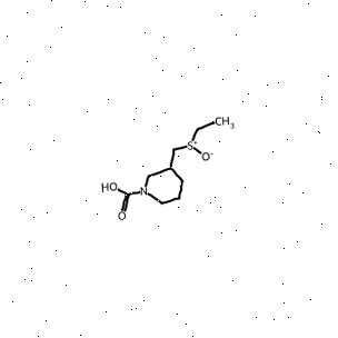 CC[S+]([O-])CC1CCCN(C(=O)O)C1